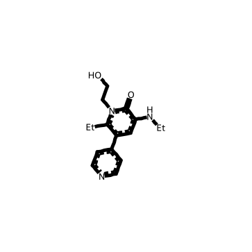 CCNc1cc(-c2ccncc2)c(CC)n(CCO)c1=O